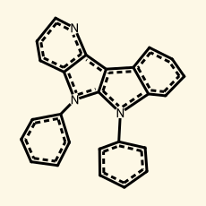 c1ccc(-n2c3ccccc3c3c4ncccc4n(-c4ccccc4)c32)cc1